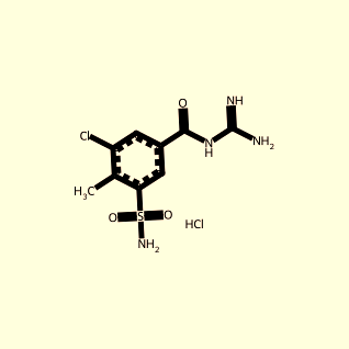 Cc1c(Cl)cc(C(=O)NC(=N)N)cc1S(N)(=O)=O.Cl